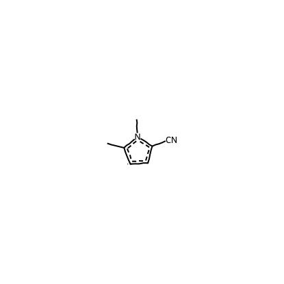 Cc1[c]cc(C#N)n1C